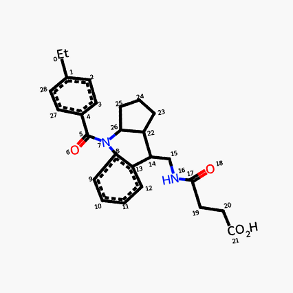 CCc1ccc(C(=O)N2c3ccccc3C(CNC(=O)CCC(=O)O)C3CCCC32)cc1